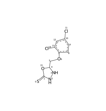 S=C1NNC(COc2ccc(Cl)cc2Cl)O1